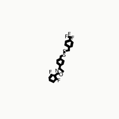 Fc1cccc(F)c1C1=NC(c2ccc(CSSCc3ccc(C(F)(F)F)cc3)cc2)CO1